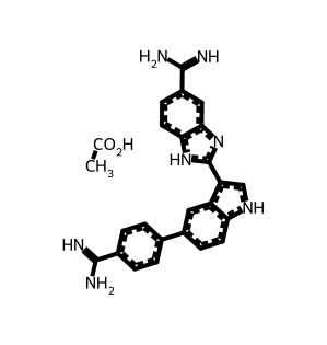 CC(=O)O.N=C(N)c1ccc(-c2ccc3[nH]cc(-c4nc5cc(C(=N)N)ccc5[nH]4)c3c2)cc1